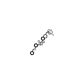 CN(C)CC1CCc2cc(NC(=O)Nc3cccc(OCc4ccccc4)c3)ccc2C1